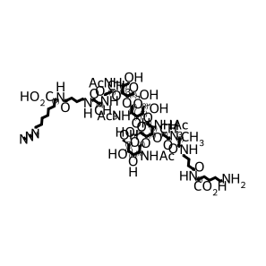 CC(=O)N[C@H]1[C@H](OC2[C@@H](CO)OC(O)[C@H](NC(C)=O)[C@H]2O[C@H](C)C(=O)N[C@@H](C)C(=O)NCCCC(=O)N[C@@H](CCCCCCN=[N+]=[N-])C(=O)O)O[C@H](CO)[C@@H](O[C@@H]2O[C@H](CO)C(O[C@@H]3O[C@H](CO)[C@@H](O)[C@H](O)[C@H]3NC(C)=O)[C@H](O[C@H](C)C(=O)N[C@@H](C)C(=O)NCCCC(=O)N[C@@H](CCCCN)C(=O)O)[C@H]2NC(C)=O)[C@@H]1O